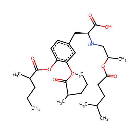 CCCC(C)C(=O)Oc1ccc(C[C@H](NCC(C)OC(=O)CCC(C)C)C(=O)O)cc1OC(=O)C(C)CCC